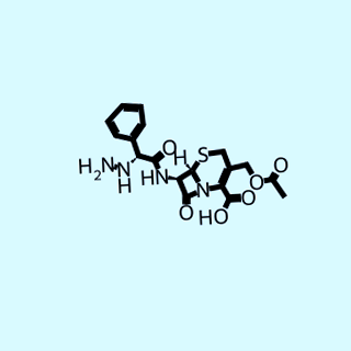 CC(=O)OCC1=C(C(=O)O)N2C(=O)[C@@H](NC(=O)[C@H](NN)c3ccccc3)[C@H]2SC1